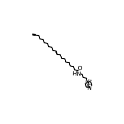 C#CCCCCCCCCC=CCCCCCCCCC(=O)NCCC[N+]12CCN(CC1)CC2